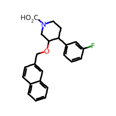 O=C(O)N1CCC(c2cccc(F)c2)C(OCc2ccc3ccccc3c2)C1